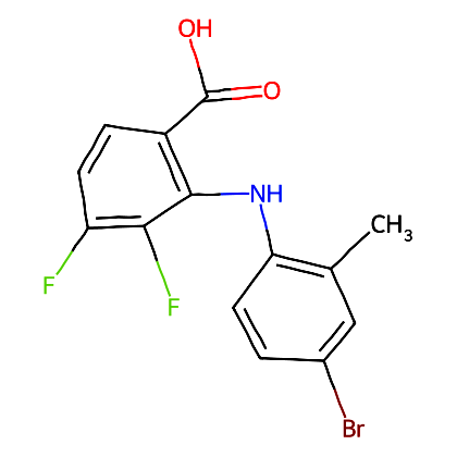 Cc1cc(Br)ccc1Nc1c(C(=O)O)ccc(F)c1F